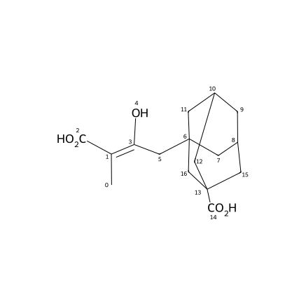 CC(C(=O)O)=C(O)CC12CC3CC(C1)CC(C(=O)O)(C3)C2